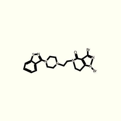 O=C1c2c(Br)nn(Br)c2CCN1CCN1CCN(c2nsc3ccccc23)CC1